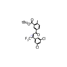 Cc1ccc(C(=O)/C=C(\c2cc(Cl)cc(Cl)c2)C(F)(F)F)cc1C(=O)OC(C)(C)C